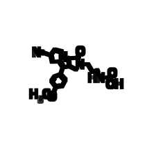 COc1ccc(-c2c3c(n4ccc(C#N)cc24)C(=O)N(CCCNC(=O)O)C3)cc1